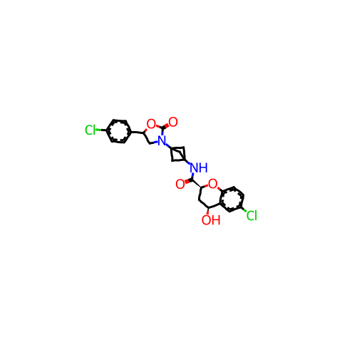 O=C(NC12CC(N3CC(c4ccc(Cl)cc4)OC3=O)(C1)C2)[C@@H]1C[C@H](O)c2cc(Cl)ccc2O1